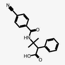 CC(C)(NC(=O)c1ccc(C#N)cc1)C(C(=O)O)c1ccccc1